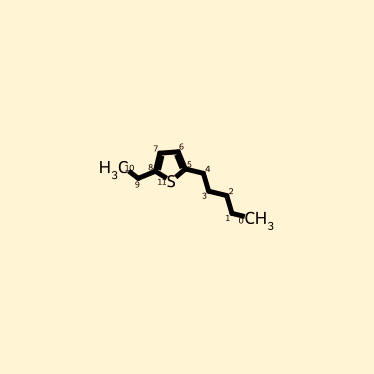 CCCCCc1ccc(CC)s1